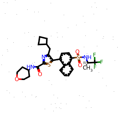 C[C@H](NS(=O)(=O)c1ccc(-c2sc(C(=O)NC3CCOCC3)nc2CC2CCC2)c2ccccc12)C(F)(F)F